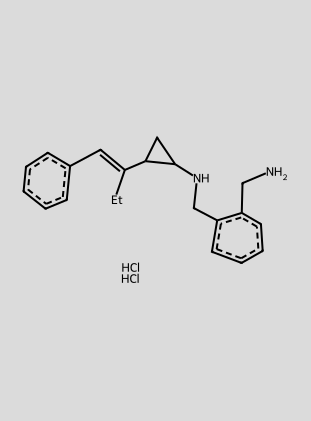 CC/C(=C\c1ccccc1)C1CC1NCc1ccccc1CN.Cl.Cl